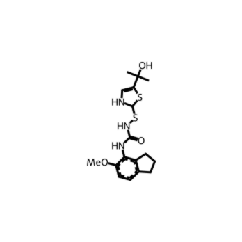 COc1ccc2c(c1NC(=O)NSC1NC=C(C(C)(C)O)S1)CCC2